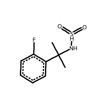 CC(C)(N[SH](=O)=O)c1ccccc1F